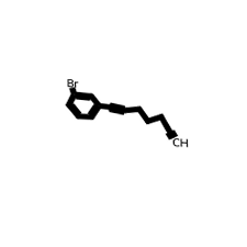 C#CCCCC#Cc1cccc(Br)c1